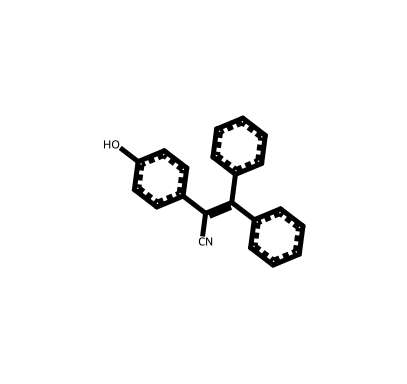 N#CC(=C(c1ccccc1)c1ccccc1)c1ccc(O)cc1